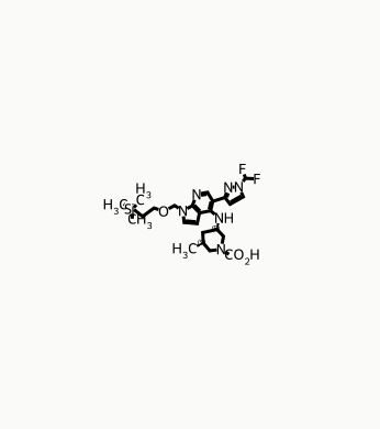 C[C@H]1C[C@@H](Nc2c(-c3ccn(C(F)F)n3)cnc3c2ccn3COCC[Si](C)(C)C)CN(C(=O)O)C1